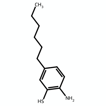 CCCCCCc1ccc(N)c(S)c1